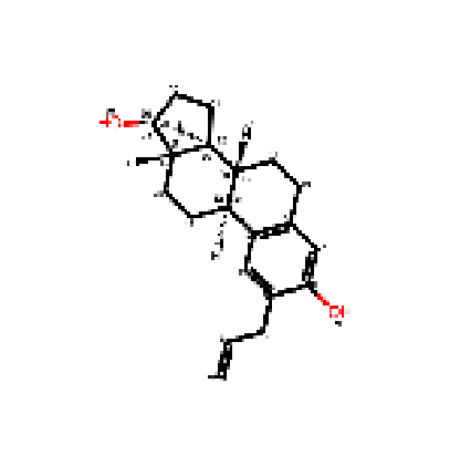 C=CCc1cc2c(cc1O)CC[C@@H]1[C@@H]2CC[C@]2(C)[C@@H](O)CC[C@@H]12